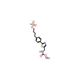 CC(C)(C)OC(=O)NCc1cnc(-c2ccc(CCCCOS(C)(=O)=O)cc2)s1